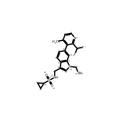 Cc1ccnc(C(F)F)c1-c1ccc2c(CNS(=O)(=O)C3CC3)cn(CC(C)(C)C)c2c1